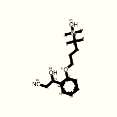 CC(C)(CCCOc1ccccc1C(O)CC#N)[Si](C)(C)O